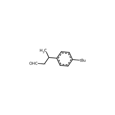 CC([CH]C=O)c1ccc(C(C)(C)C)cc1